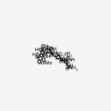 COc1cccc2c1C(=O)c1c(O)c3c(c(O)c1C2=O)C[C@@](O)(C(=O)CO)C[C@@H]3O[C@H]1C[C@H](NC(=O)OCc2ccc(NC(=O)C(CCCNC(N)=O)NC(=O)C(N)C(C)C)cc2S(=O)(=O)O)[C@H](O)[C@H](C)O1